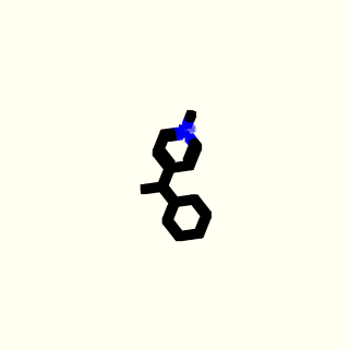 CC(c1cc[n+](C)cc1)C1CCCCC1